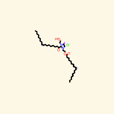 CCCCCCCC/C=C\CCCCCCCC(=O)OCCN1CC(I)[N+](CCO)=C1C(=O)CCCCCCC/C=C\CCCCCCCC.[Cl-]